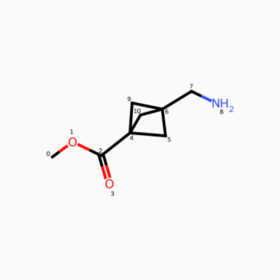 COC(=O)C12CC(CN)(C1)C2